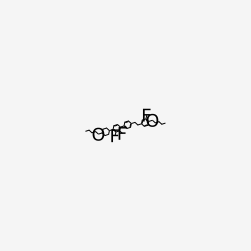 CCCCOc1ccc(CCc2ccc(-c3ccc(C4CCC(OCCCC)CC4)c(F)c3F)cc2)cc1F